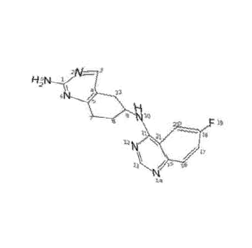 Nc1ncc2c(n1)CCC(Nc1ncnc3ccc(F)cc13)C2